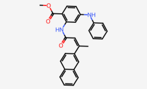 COC(=O)c1ccc(Nc2ccccc2)cc1NC(=O)/C=C(/C)c1ccc2ccccc2c1